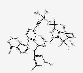 CC/C=C(\C=C(F)F)C[C@H](NC(=O)Cn1nc(C(F)(F)F)c2c1C(F)(F)[C@]1(C)C=C[C@H]21)c1nc(C#CC(C)(C)O)ccc1-c1cccc2c(=O)[nH]cnc12